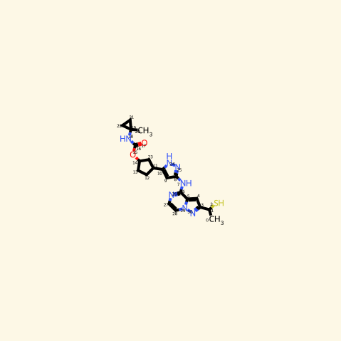 CC(S)c1cc2c(Nc3cc(C4CCC(OC(=O)NC5(C)CC5)C4)[nH]n3)nccn2n1